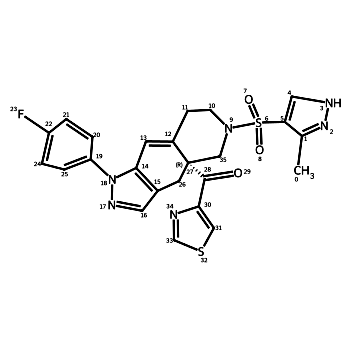 Cc1n[nH]cc1S(=O)(=O)N1CCC2=Cc3c(cnn3-c3ccc(F)cc3)C[C@]2(C(=O)c2cscn2)C1